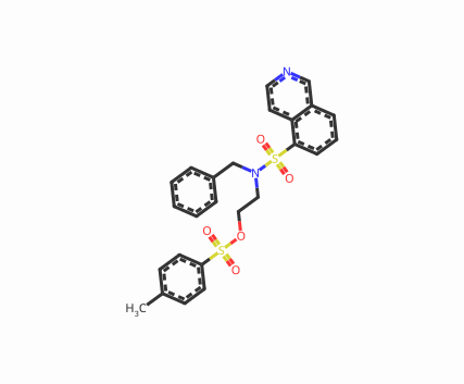 Cc1ccc(S(=O)(=O)OCCN(Cc2ccccc2)S(=O)(=O)c2cccc3cnccc23)cc1